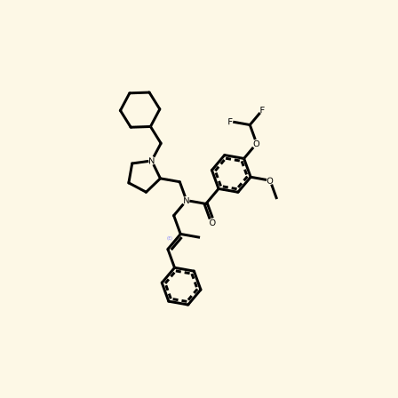 COc1cc(C(=O)N(C/C(C)=C/c2ccccc2)CC2CCCN2CC2CCCCC2)ccc1OC(F)F